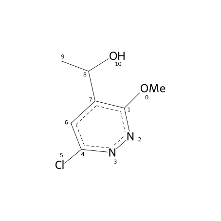 COc1nnc(Cl)cc1C(C)O